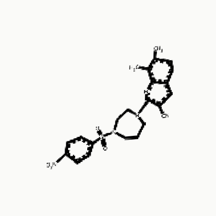 Cc1ccc2cc(C#N)c(N3CCCN(S(=O)(=O)c4ccc([N+](=O)[O-])cc4)CC3)nc2c1C